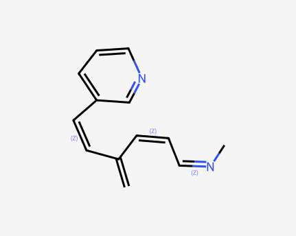 C=C(/C=C\C=N/C)/C=C\c1cccnc1